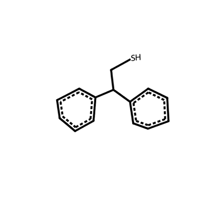 SCC(c1ccccc1)c1ccccc1